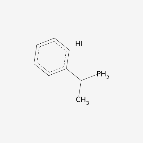 CC(P)c1ccccc1.I